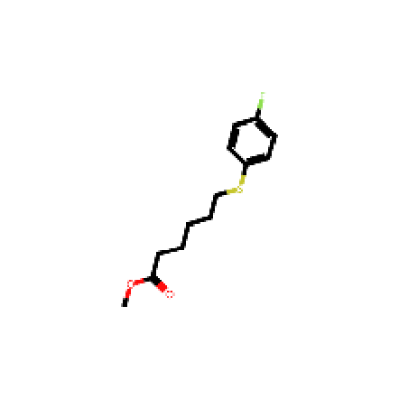 COC(=O)CCCCCSc1ccc(F)cc1